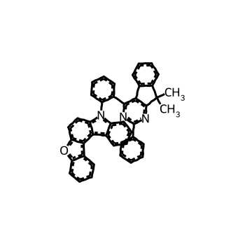 CC1(C)c2ccccc2-c2c(-c3ccccc3-n3c4ccccc4c4c5c(ccc43)oc3ccccc35)nc(-c3ccccc3)nc21